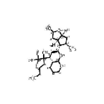 CCCCC(C)(CC=C(OC1CCCCO1)[C@@H]1[C@H]2CC(O)O[C@@H]2C[C@H]1C)C(F)(F)F